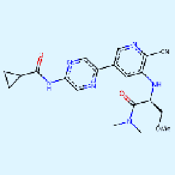 COC[C@H](Nc1cc(-c2cnc(NC(=O)C3CC3)cn2)cnc1C#N)C(=O)N(C)C